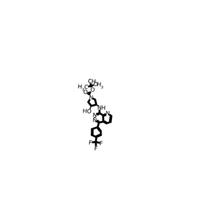 CC(C)(C)OC(=O)N1C[C@H](O)[C@H](Nc2nnc(-c3ccc(C(F)(F)F)cc3)c3cccnc23)C1